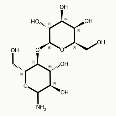 NC1O[C@H](CO)[C@@H](O[C@@H]2O[C@H](CO)[C@H](O)[C@H](O)[C@H]2O)[C@H](O)[C@H]1O